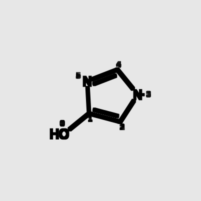 OC1=C[N]C=N1